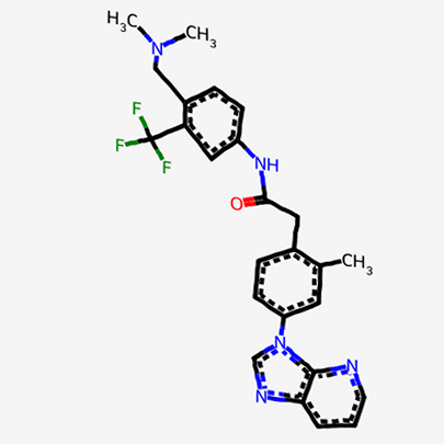 Cc1cc(-n2cnc3cccnc32)ccc1CC(=O)Nc1ccc(CN(C)C)c(C(F)(F)F)c1